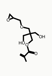 C=C(C)C(=O)OCC(CO)(CO)COCC1CO1